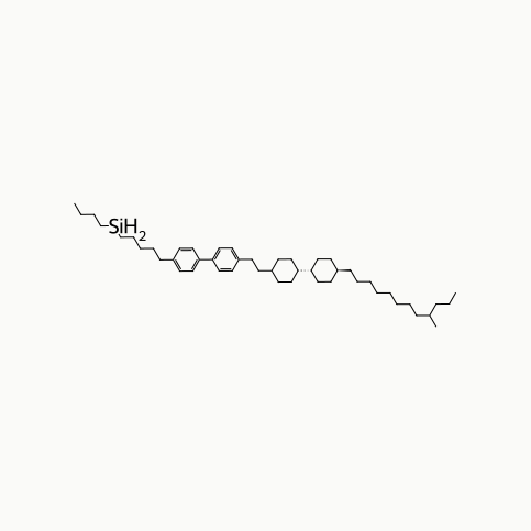 CCCC[SiH2]CCCCCc1ccc(-c2ccc(CCC3CCC([C@H]4CC[C@H](CCCCCCCCC(C)CCC)CC4)CC3)cc2)cc1